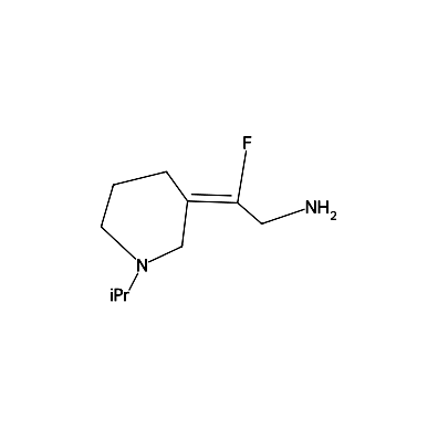 CC(C)N1CCC/C(=C(\F)CN)C1